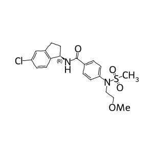 COCCN(c1ccc(C(=O)N[C@@H]2CCc3cc(Cl)ccc32)cc1)S(C)(=O)=O